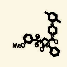 COc1cccc(S(=O)(=O)N2CC(C(=O)N3CCN(c4cc(C)ccc4C)CC3)N(c3ccccc3)C2=O)c1